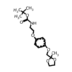 CC(C)(C)OC(=O)NCCOc1ccc(OCC2(C)OCCO2)cc1